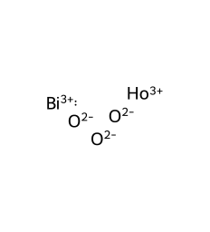 [Bi+3].[Ho+3].[O-2].[O-2].[O-2]